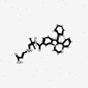 CC(C)(CN/C=C/C(=O)O)NC(=O)c1ccc2c(C3CCCCC3)c3n(c2c1)CCOc1ccccc1-3